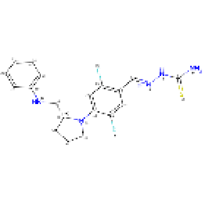 NC(=S)N/N=C/c1cc(F)c(N2CCC[C@@H]2CNc2ccccc2)cc1F